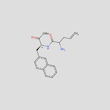 C=CCC(N)C(=O)N[C@@H](Cc1ccc2ccccc2c1)C(=O)OC